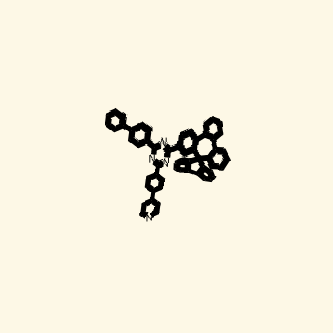 c1ccc(-c2ccc(-c3nc(-c4ccc(-c5ccncc5)cc4)nc(-c4ccc5c(c4)C4(c6ccccc6-c6ccccc6-5)c5ccccc5-c5ccccc54)n3)cc2)cc1